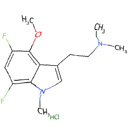 COc1c(F)cc(F)c2c1c(CCN(C)C)cn2C.Cl